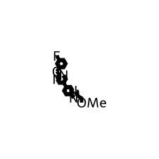 COCc1cn2cc(-c3cnc(Oc4cccc(F)c4)nc3)ccc2n1